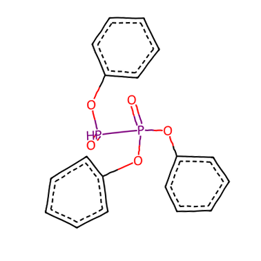 O=[PH](Oc1ccccc1)P(=O)(Oc1ccccc1)Oc1ccccc1